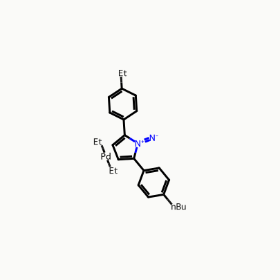 CCCCc1ccc(C2=CC=C(c3ccc(CC)cc3)[N+]2=[N-])cc1.C[CH2][Pd][CH2]C